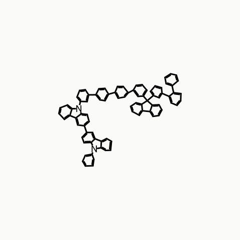 c1ccc(-c2ccccc2-c2cccc(C3(c4cccc(-c5ccc(-c6ccc(-c7cccc(-n8c9ccccc9c9cc(-c%10ccc%11c(c%10)c%10ccccc%10n%11-c%10ccccc%10)ccc98)c7)cc6)cc5)c4)c4ccccc4-c4ccccc43)c2)cc1